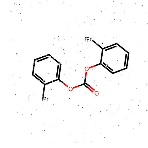 CC(C)c1ccccc1OC(=O)Oc1ccccc1C(C)C